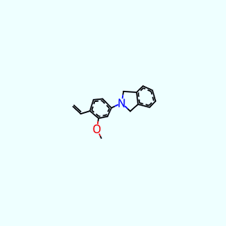 C=Cc1ccc(N2Cc3ccccc3C2)cc1OC